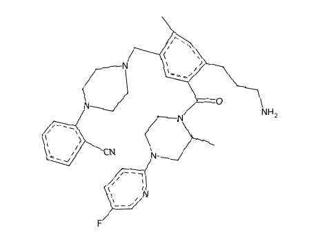 Cc1cc(CCCN)c(C(=O)N2CCN(c3ccc(F)cn3)CC2C)cc1CN1CCN(c2ccccc2C#N)CC1